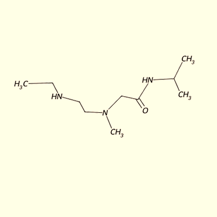 CCNCCN(C)CC(=O)NC(C)C